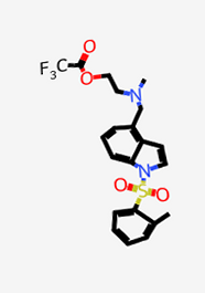 Cc1ccccc1S(=O)(=O)n1ccc2c(CN(C)CCOC(=O)C(F)(F)F)cccc21